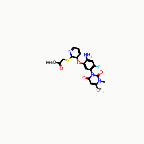 COC(=O)CSC1N=CC=CC1Oc1cc(-n2c(=O)cc(C(F)(F)F)n(C)c2=O)c(F)cc1N